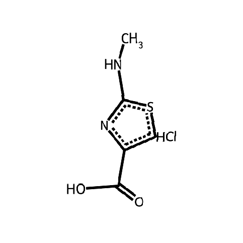 CNc1nc(C(=O)O)cs1.Cl